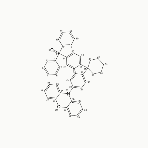 O=P(c1ccccc1)(c1ccccc1)c1ccc(C2(c3ccc(N4c5ccccc5Oc5ccccc54)cc3)CCCCC2)cc1